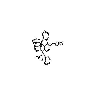 OCc1ccc(C(O)(c2ccccc2)c2ccccc2)c(-c2ccccc2)c1-c1ccccc1